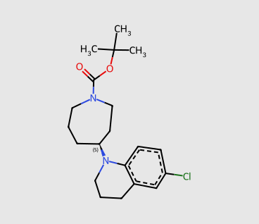 CC(C)(C)OC(=O)N1CCC[C@H](N2CCCc3cc(Cl)ccc32)CC1